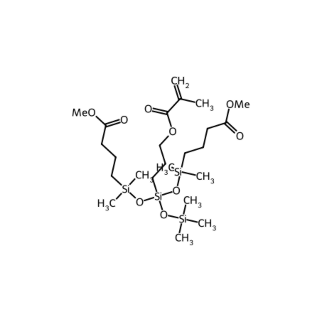 C=C(C)C(=O)OCCC[Si](O[Si](C)(C)C)(O[Si](C)(C)CCCC(=O)OC)O[Si](C)(C)CCCC(=O)OC